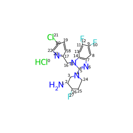 Cl.N[C@@H]1CN(c2nc3cc(F)c(F)cc3n2Cc2ccc(Cl)cn2)CCC1F